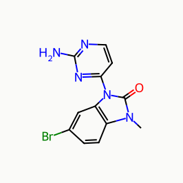 Cn1c(=O)n(-c2ccnc(N)n2)c2cc(Br)ccc21